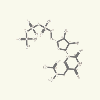 CN(Cc1cn([C@@H]2O[C@H](COP(=O)(O)OP(=O)(O)OP(=O)(O)O)C(O)C2O)c(=O)[nH]c1=O)C(=O)C(F)(F)F